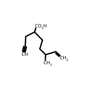 C#CCC(CCC(C)C=C)C(=O)O